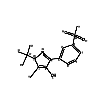 Cc1c(O)c(-c2cccc(S(C)(=O)=O)c2)nn1C(C)(C)C